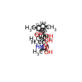 CCC(C)(C)C(=O)O[C@H]1C[C@@H](C)C=C2C=C[C@H](C)[C@H](CC[C@@H](O)C[C@@H](O)CC(=O)N[C@H](C)C(=O)O)[C@H]21